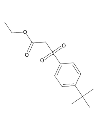 CCOC(=O)CS(=O)(=O)c1ccc(C(C)(C)C)cc1